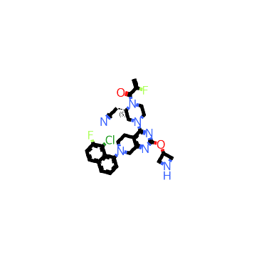 C=C(F)C(=O)N1CCN(c2nc(OC3CNC3)nc3c2CCN(c2cccc4ccc(F)c(Cl)c24)C3)C[C@@H]1CC#N